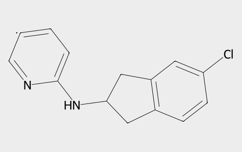 Clc1ccc2c(c1)CC(Nc1cc[c]cn1)C2